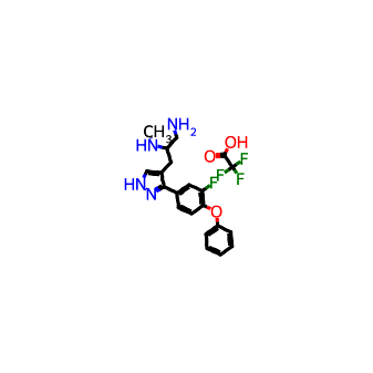 CNC(CN)Cc1c[nH]nc1-c1ccc(Oc2ccccc2)c(F)c1.O=C(O)C(F)(F)F